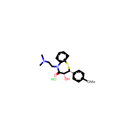 COc1ccc([C@H]2Sc3ccccc3N(CCN(C)C)C(=O)[C@H]2O)cc1.Cl